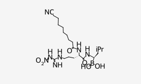 CC(C)C[C@H](NC(=O)[C@H](CCCNC(=N)N[N+](=O)[O-])NC(=O)CCCCCCCCC#N)B(O)O